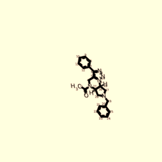 CC(=O)N1Cc2c(-c3ccccc3)nnn2[C@@H]2CN(Cc3ccccc3)C[C@H]21